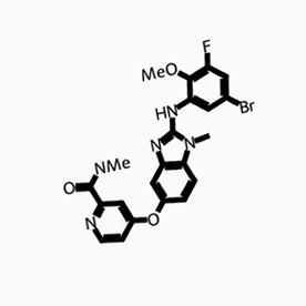 CNC(=O)c1cc(Oc2ccc3c(c2)nc(Nc2cc(Br)cc(F)c2OC)n3C)ccn1